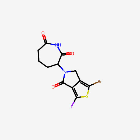 O=C1CCCC(N2Cc3c(Br)sc(I)c3C2=O)C(=O)N1